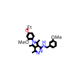 CCOc1ccc(-n2c(C)c3c(C)nnc(NCc4cccc(OC)c4)c3c2C)c(OC)c1